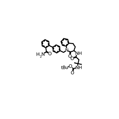 CC(C)(CC(=O)NC1CCc2ccccc2N(Cc2ccc(-c3ccccc3C(N)=O)cc2)C1=O)NC(=O)OC(C)(C)C